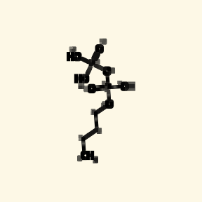 CCCCOP(=O)(O)OP(=O)(O)O